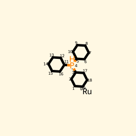 C1CCC([PH](C2CCCCC2)C2CCCCC2)CC1.[Ru]